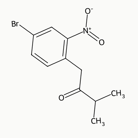 CC(C)C(=O)Cc1ccc(Br)cc1[N+](=O)[O-]